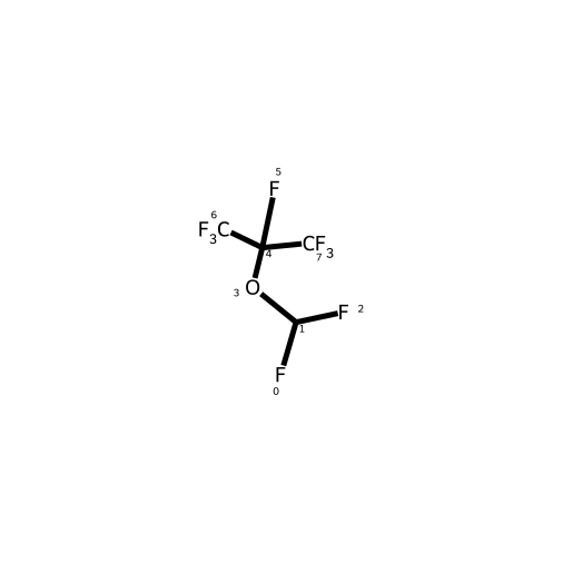 FC(F)OC(F)(C(F)(F)F)C(F)(F)F